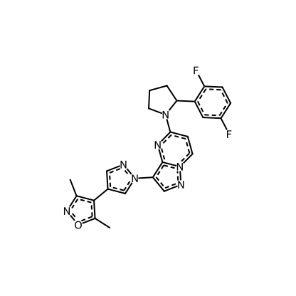 Cc1noc(C)c1-c1cnn(-c2cnn3ccc(N4CCCC4c4cc(F)ccc4F)nc23)c1